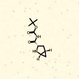 CC(C)(C)OC(=O)NC(=O)[C@@H]1C[C@@H]2C[C@@H]2N1